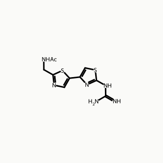 CC(=O)NCc1ncc(-c2csc(NC(=N)N)n2)s1